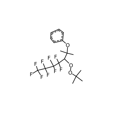 CC(C)(C)OOC(C(C)(C)Oc1ccccc1)C(F)(F)C(F)(F)C(F)(F)C(F)(F)F